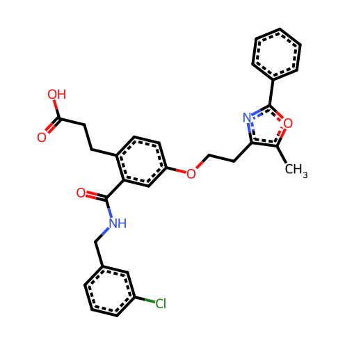 Cc1oc(-c2ccccc2)nc1CCOc1ccc(CCC(=O)O)c(C(=O)NCc2cccc(Cl)c2)c1